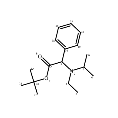 CCN(C(C)C)C(C(=O)OC(C)(C)C)c1ccccc1